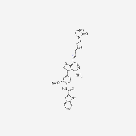 COc1cc(-c2csc3c(/C=C/CNCCN4CCNC4=O)cnc(N)c23)ccc1NC(=O)c1cc2ccccc2n1C